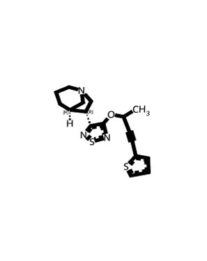 CC(C#Cc1cccs1)Oc1nsnc1[C@H]1CN2CCC[C@H]1C2